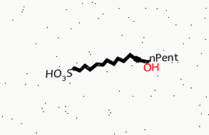 CCCCC[C@@H](O)C#CCCCCCCCCCCCS(=O)(=O)O